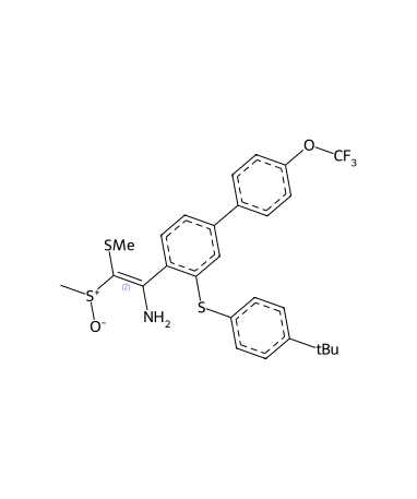 CS/C(=C(/N)c1ccc(-c2ccc(OC(F)(F)F)cc2)cc1Sc1ccc(C(C)(C)C)cc1)[S+](C)[O-]